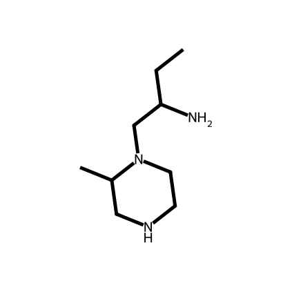 CCC(N)CN1CCNCC1C